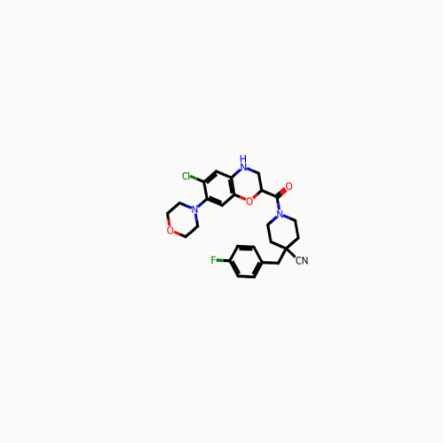 N#CC1(Cc2ccc(F)cc2)CCN(C(=O)C2CNc3cc(Cl)c(N4CCOCC4)cc3O2)CC1